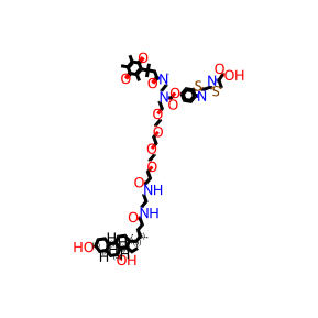 CC1=C(C)C(=O)C(C(C)(C)CC(=O)N(C)CCN(CCOCCOCCOCCOCCC(=O)NCCCNC(=O)CC[C@H](C)[C@@H]2CC[C@@H]3[C@@H]4[C@@H](CC[C@]32C)[C@@H]2CC[C@H](O)C[C@@H]2C[C@@H]4O)C(=O)Oc2ccc3nc(C4=NC(C(=O)O)CS4)sc3c2)=C(C)C1=O